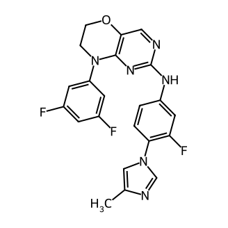 Cc1cn(-c2ccc(Nc3ncc4c(n3)N(c3cc(F)cc(F)c3)CCO4)cc2F)cn1